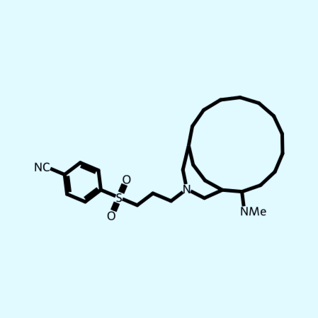 CNC1CCCCCCCCCCC2CCC1CN(CCCS(=O)(=O)c1ccc(C#N)cc1)C2